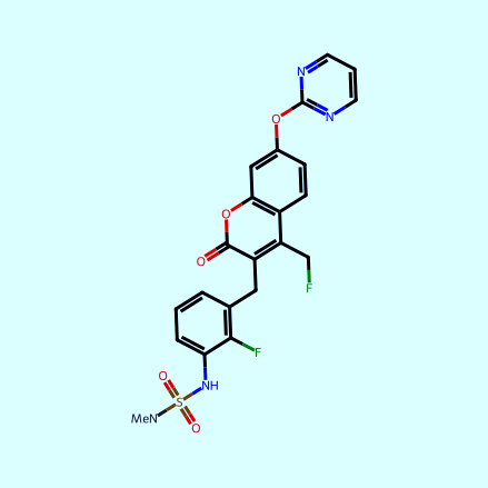 CNS(=O)(=O)Nc1cccc(Cc2c(CF)c3ccc(Oc4ncccn4)cc3oc2=O)c1F